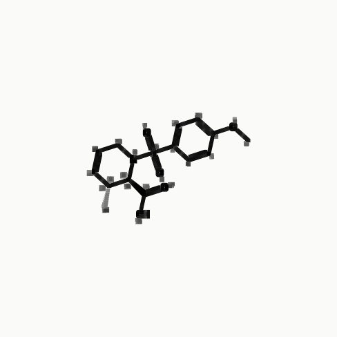 COc1ccc(S(=O)(=O)N2CC=C[C@@H](C)[C@@H]2C(=O)O)cc1